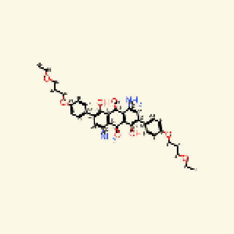 CCOCCCOc1ccc(-c2cc(N)c3c(c2O)C(=O)c2c(N)cc(-c4ccc(OCCCOCC)cc4)c(O)c2C3=O)cc1